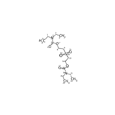 CCN(CC)C(=O)OCCS(=O)(=O)CCOC(=O)N(CC)CC